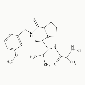 COc1cccc(CNC(=O)C2CCCN2C(=O)C(NC(=O)C(C)NCl)C(C)C)c1